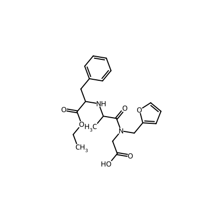 CCOC(=O)C(Cc1ccccc1)NC(C)C(=O)N(CC(=O)O)Cc1ccco1